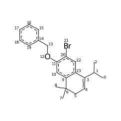 CC(C)C1=CCC(C)(C)c2cc(OCc3ccccc3)c(Br)cc21